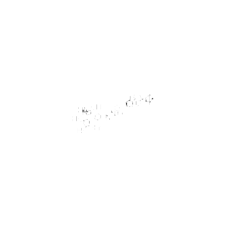 Cc1[nH]nc(-c2cc(C(C)C)c(O)cc2O)c1-c1ccc(CN2CCN(C(=O)O[C@H]3CC[C@@]4(C)C(=CCC5[C@@H]4CC[C@]4(C)C(c6cccnc6)=CC[C@@H]54)C3)CC2)cc1